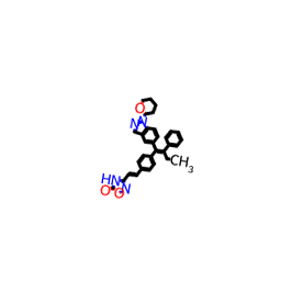 CCC(=C(c1ccc(C=Cc2noc(=O)[nH]2)cc1)c1ccc2c(cnn2C2CCCCO2)c1)c1ccccc1